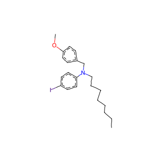 CCCCCCCCN(Cc1ccc(OC)cc1)c1ccc(I)cc1